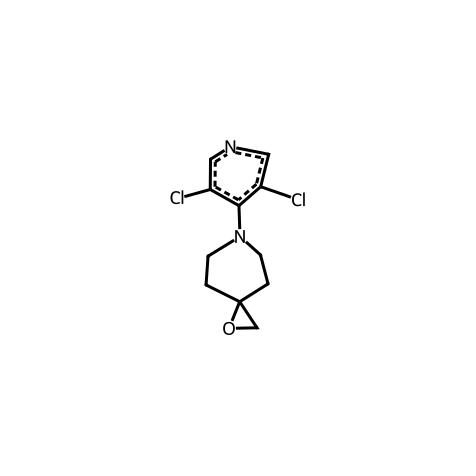 Clc1cncc(Cl)c1N1CCC2(CC1)CO2